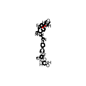 COc1cc(N2CCN(C3CCC(n4cc(-c5cn6ncc(C#N)c6c(-c6ccc(N7C[C@H]8COC[C@@H](C7)N8Cc7ccc(F)cc7)nc6)n5)cn4)CC3)CC2)c(F)cc1NC1CCC(=O)NC1=O